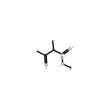 CO[PH](=O)C(C)C(C)=O